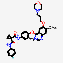 CCc1cc(NC(=O)C2(C(=O)Nc3ccc(F)cc3)CC2)ccc1Oc1ncnc2cc(OC)c(OCCCN3CCOCC3)cc12